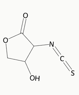 O=C1OCC(O)C1N=C=S